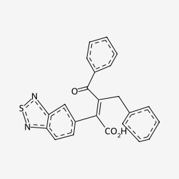 O=C(O)C(=C(Cc1ccccc1)C(=O)c1ccccc1)c1ccc2nsnc2c1